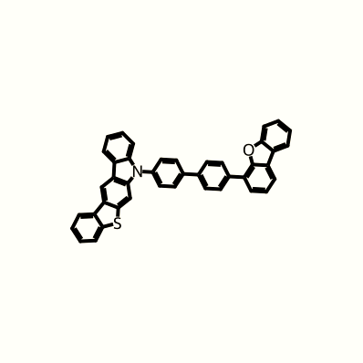 c1ccc2c(c1)oc1c(-c3ccc(-c4ccc(-n5c6ccccc6c6cc7c(cc65)sc5ccccc57)cc4)cc3)cccc12